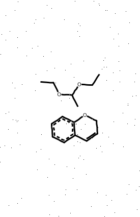 C1=Cc2ccccc2OC1.CCOC(C)OCC